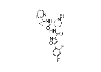 CCN1CC[C@H](NC(=O)c2cc(-c3ccc(F)cc3F)on2)[C@@H](C(=O)NC2(c3ncccn3)CC2)C1